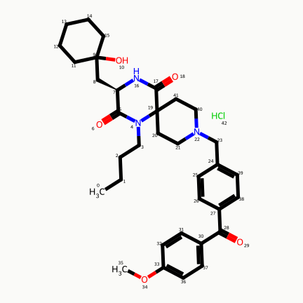 CCCCN1C(=O)[C@@H](CC2(O)CCCCC2)NC(=O)C12CCN(Cc1ccc(C(=O)c3ccc(OC)cc3)cc1)CC2.Cl